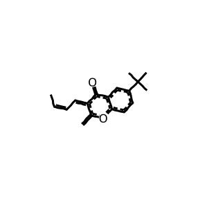 C=c1oc2ccc(C(C)(C)C)cc2c(=O)/c1=C/C=C\C